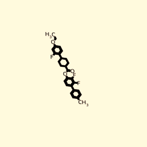 CCOc1ccc(C2CCC(C(=O)Oc3ccc(-c4ccc(C)cc4)c(F)c3F)CC2)c(F)c1